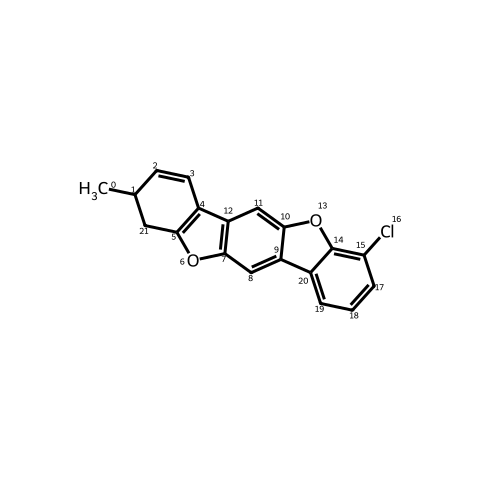 CC1C=Cc2c(oc3cc4c(cc23)oc2c(Cl)cccc24)C1